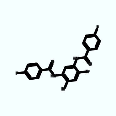 O=C(Nc1cc(NC(=O)c2ccc(F)cc2)c(Br)cc1Br)c1ccc(F)cc1